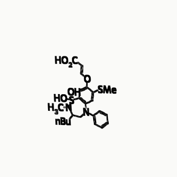 CCCCC1CN(c2ccccc2)c2cc(SC)c(O/C=C/C(=O)O)cc2S(O)(O)N1C